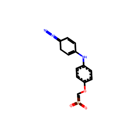 [N-]=[N+]=C1C=CC(Nc2ccc(OC=S(=O)=O)cc2)=CC1